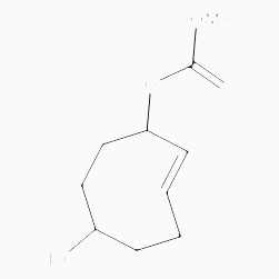 COC(=O)OC1/C=C/CCC(O)CC1